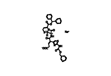 O=C([O-])CC=C(C(=O)N[C@@H]1C(=O)N2C(C(=O)OC(c3ccccc3)c3ccccc3)=CCS[C@@H]12)c1csc(NC(=O)OCc2ccccc2)n1.[Na+]